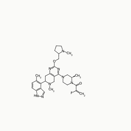 C=C(F)C(=O)N1CCN(c2nc(OCC3CCCN3C)nc3c2CN(C)C(c2c(C)ccc4[nH]ncc24)C3)C[C@H]1C